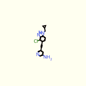 Nc1cncc(C#Cc2ccc3c(nnn3CC3CC3)c2Cl)c1